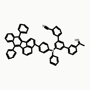 CC(=N)c1cccc(-c2cc(-c3cccc(C#N)c3)cc(N(c3ccccc3)c3ccc(-c4ccc5c6c(cccc46)-c4c-5c(-c5ccccc5)c5ccccc5c4-c4ccccc4)cc3)c2)c1